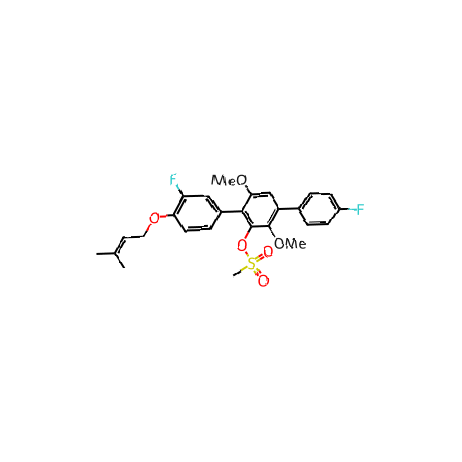 COc1cc(-c2ccc(F)cc2)c(OC)c(OS(C)(=O)=O)c1-c1ccc(OCC=C(C)C)c(F)c1